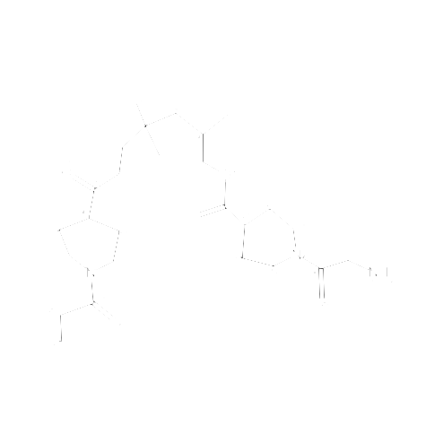 C=C(OCC(C)CC(C)(C)CCC(=O)C1CCN(C(=C)CC)CC1)C1CCN(C(=C)CN)CC1